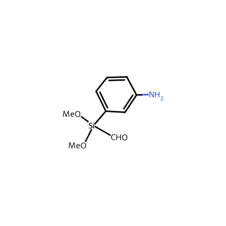 CO[Si](C=O)(OC)c1cccc(N)c1